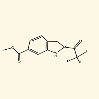 COC(=O)c1ccc2c(c1)NN(C(=O)C(F)(F)F)C2